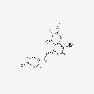 CC(C(=O)c1cc(Br)ccc1OCc1ccc(Cl)cc1)N(C)C